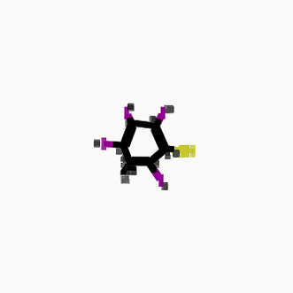 Sc1c(I)cc(I)c(I)c1I.[Zn]